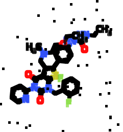 CCNC(=O)Nc1ccc(-c2sc3c(c2CN(C)CCOCC)c(=O)n(-c2ccccn2)c(=O)n3Cc2c(F)cccc2F)cc1